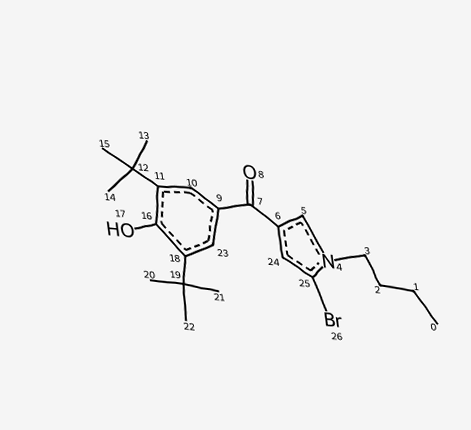 CCCCn1cc(C(=O)c2cc(C(C)(C)C)c(O)c(C(C)(C)C)c2)cc1Br